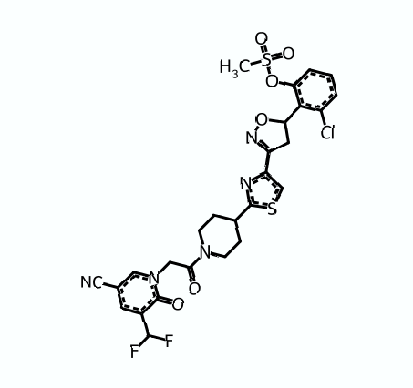 CS(=O)(=O)Oc1cccc(Cl)c1C1CC(c2csc(C3CCN(C(=O)Cn4cc(C#N)cc(C(F)F)c4=O)CC3)n2)=NO1